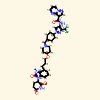 Cn1c(=O)n(C2CCC(=O)NC2=O)c2cccc(CCCOC3CCN(CC4CCC(n5cc(NC(=O)c6cnn7cccnc67)c(C(F)F)n5)CC4)CC3)c21